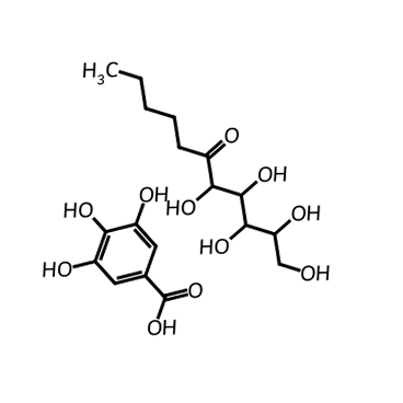 CCCCCC(=O)C(O)C(O)C(O)C(O)CO.O=C(O)c1cc(O)c(O)c(O)c1